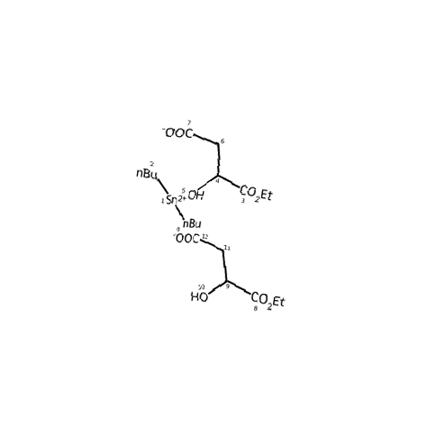 CCC[CH2][Sn+2][CH2]CCC.CCOC(=O)C(O)CC(=O)[O-].CCOC(=O)C(O)CC(=O)[O-]